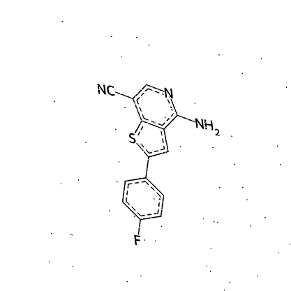 N#Cc1cnc(N)c2cc(-c3ccc(F)cc3)sc12